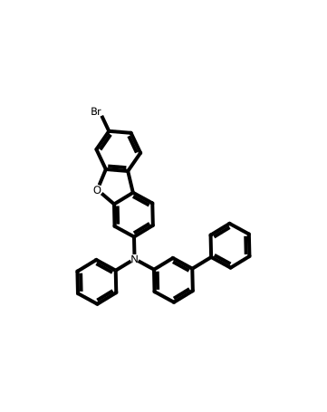 Brc1ccc2c(c1)oc1cc(N(c3ccccc3)c3cccc(-c4ccccc4)c3)ccc12